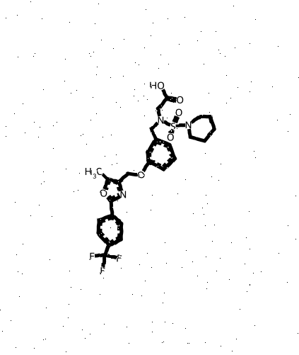 Cc1oc(-c2ccc(C(F)(F)F)cc2)nc1COc1cccc(CN(CC(=O)O)S(=O)(=O)N2CCCCC2)c1